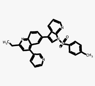 CCc1cc(-c2cccnc2)c2cc(-c3cn(S(=O)(=O)c4ccc(C)cc4)c4ncccc34)ccc2n1